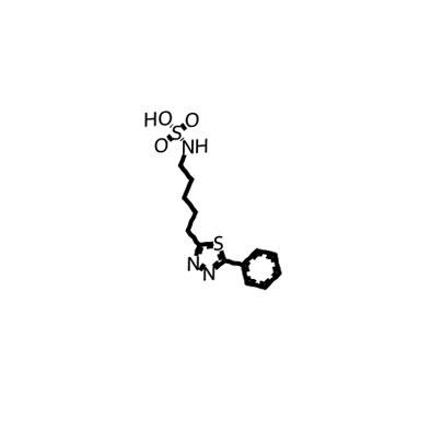 O=S(=O)(O)NCCCCCc1nnc(-c2ccccc2)s1